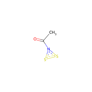 CC(=O)n1ss1